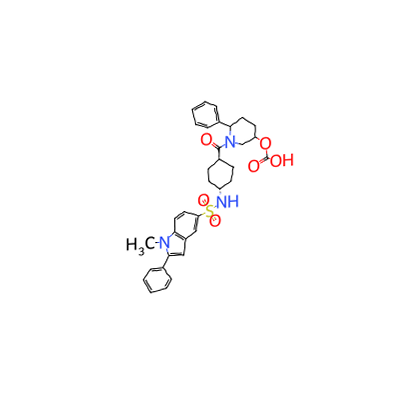 Cn1c(-c2ccccc2)cc2cc(S(=O)(=O)N[C@H]3CC[C@H](C(=O)N4CC(OC(=O)O)CCC4c4ccccc4)CC3)ccc21